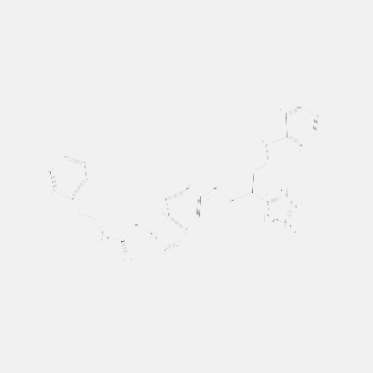 CN(CCc1ccccc1)C(=O)Cn1ccc2cc(CCC(COCc3ccccc3)c3nnn[nH]3)ccc21